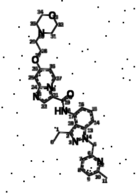 CCc1nn(Cc2cccc(C)n2)c2cccc(NC(=O)c3cnc4cc(OCCN5CCOCC5)ccn34)c12